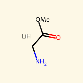 COC(=O)CN.[LiH]